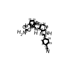 N#Cc1ccc(-c2nc3c(N[C@H]4[C@@H](OC(N)=O)[C@@H]5C=C[C@H]4C5)c(Br)cnc3[nH]2)cc1